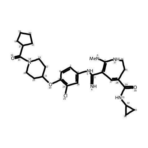 CNC1=C(C(=N)Nc2ccc(OC3CCN(C(=O)C4CCCC4)CC3)c(Cl)c2)C=C(C(=O)NC2CC2)CCN1